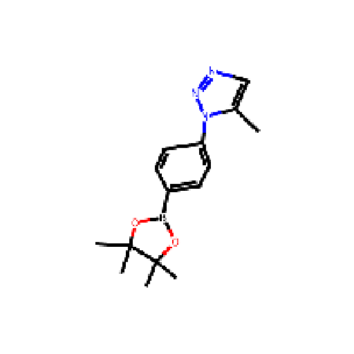 Cc1cnnn1-c1ccc(B2OC(C)(C)C(C)(C)O2)cc1